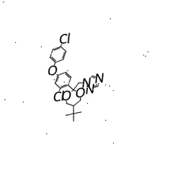 CC(C)(C)C1COC(Cn2cncn2)(c2ccc(Oc3ccc(Cl)cc3)cc2Cl)OC1